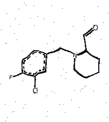 O=CC1CCCCN1Cc1ccc(F)c(Cl)c1